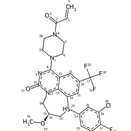 C=CC(=O)N1CCN(c2nc(=O)n3c4c(cc(C(F)(F)F)cc24)[SH](c2ccc(F)c(Cl)c2)C[C@@H](OC)C3)CC1